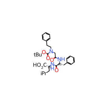 CC(C)C[C@@H](NC(=O)[C@@H](Cc1ccccc1)NC(=O)CN(CCc1ccccc1)C(=O)OC(C)(C)C)C(=O)O